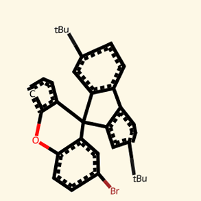 CC(C)(C)c1ccc2c(c1)C1(c3ccccc3Oc3ccc(Br)cc31)c1cc(C(C)(C)C)ccc1-2